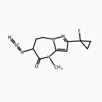 CN1C(=O)C(N=[N+]=[N-])CCn2nc(C3(F)CC3)cc21